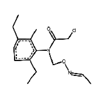 C/C=N/OCN(C(=O)CCl)c1c(CC)ccc(CC)c1C